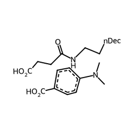 CCCCCCCCCCCCNC(=O)CCC(=O)O.CN(C)c1ccc(C(=O)O)cc1